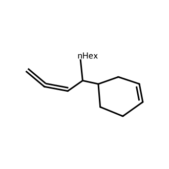 C=C=CC(CCCCCC)C1CC=CCC1